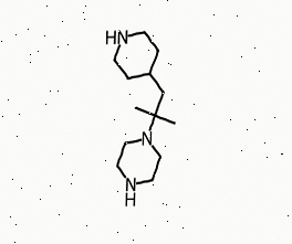 CC(C)(CC1CCNCC1)N1CCNCC1